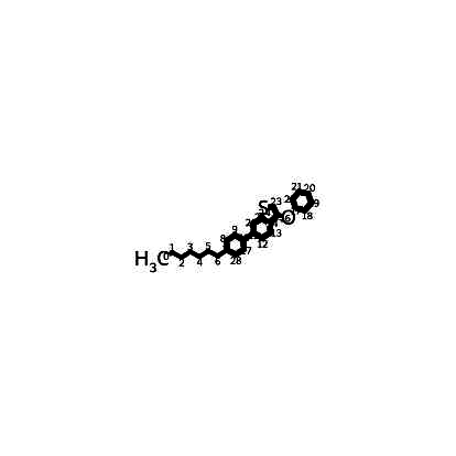 CCCCCCCc1ccc(-c2ccc3c(Oc4ccccc4)csc3c2)cc1